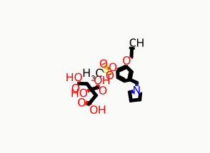 C#CCOc1cc(CN2CCCC2)ccc1OS(C)(=O)=O.O=C(O)CC(O)(CC(=O)O)C(=O)O